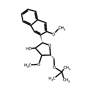 COc1cc2ccccc2cc1[C@@H]1O[C@H](COC(C)(C)C)C(OC)C1O